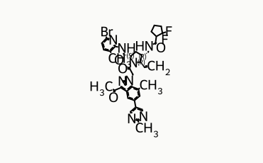 C=C[C@@H]1[C@@H](CNC(=O)C2CCCC2(F)F)C[C@@H](C(=O)Nc2nc(Br)ccc2C)N1C(=O)Cn1nc(C(C)=O)c2cc(-c3cnc(C)nc3)cc(C)c21